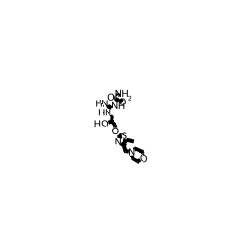 Cc1sc(OCC(O)CNC(=N)NS(N)(=O)=O)nc1CN1CCOCC1